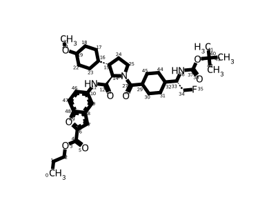 CCCOC(=O)c1cc2cc(NC(=O)[C@H]3[C@H](C4CCC(OC)CC4)CCN3C(=O)C3CCC([C@@H](CF)NC(=O)OC(C)(C)C)CC3)ccc2o1